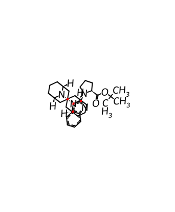 CC(C)(C)OC(=O)[C@@H]1CCCN1c1nc2ccccc2n1[C@H]1C[C@H]2CCC[C@@H](C1)N2[C@H]1C[C@@H]2CCC[C@@H](C2)C1